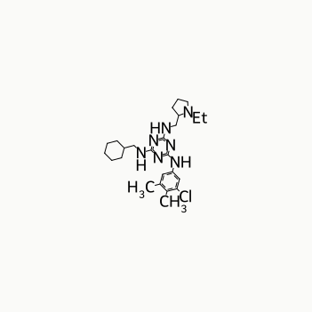 CCN1CCCC1CNc1nc(NCC2CCCCC2)nc(Nc2cc(C)c(C)c(Cl)c2)n1